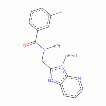 CCCCCn1c(CN(CCC)C(=O)c2cccc(I)c2)nc2cccnc21